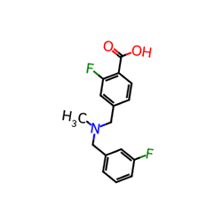 CN(Cc1cccc(F)c1)Cc1ccc(C(=O)O)c(F)c1